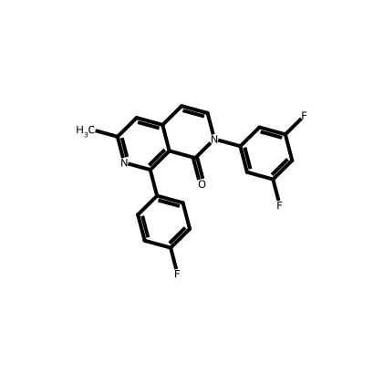 Cc1cc2ccn(-c3cc(F)cc(F)c3)c(=O)c2c(-c2ccc(F)cc2)n1